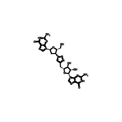 Nc1nc2c(ncn2[C@@H]2O[C@H](Cc3cn([C@H]4C[C@H](n5cnc6c(=O)[nH]c(N)nc65)O[C@@H]4CO)nn3)[C@@H](O)[C@@H]2O)c(=O)[nH]1